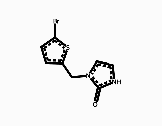 O=c1[nH]ccn1Cc1ccc(Br)s1